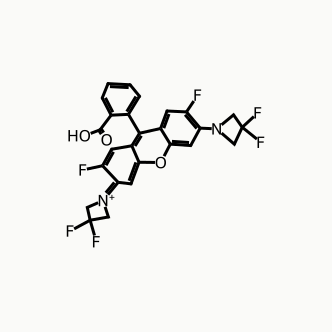 O=C(O)c1ccccc1-c1c2cc(F)c(=[N+]3CC(F)(F)C3)cc-2oc2cc(N3CC(F)(F)C3)c(F)cc12